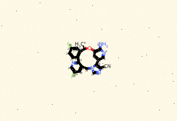 C[C@H]1Oc2cc(cnc2N)-c2c(C#N)ncn2Cc2cc(F)cnc2-c2ccc(F)cc21